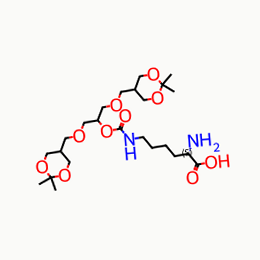 CC1(C)OCC(COCC(COCC2COC(C)(C)OC2)OC(=O)NCCCC[C@H](N)C(=O)O)CO1